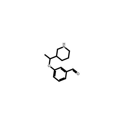 CC(Oc1cccc([C]=O)c1)C1CCCNC1